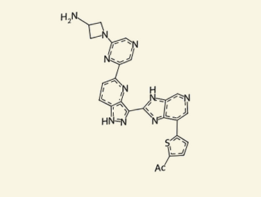 CC(=O)c1ccc(-c2cncc3[nH]c(-c4n[nH]c5ccc(-c6cncc(N7CC(N)C7)n6)nc45)nc23)s1